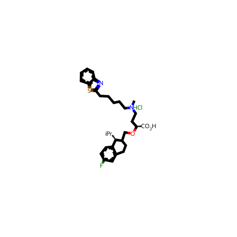 CC(C)[C@@H]1c2ccc(F)cc2CCC1CO[C@@H](CCN(C)CCCCCc1nc2ccccc2s1)C(=O)O.Cl